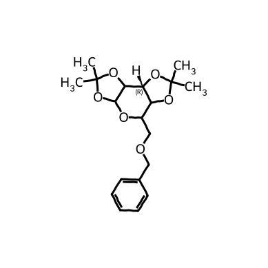 CC1(C)OC2OC(COCc3ccccc3)C3OC(C)(C)O[C@H]3C2O1